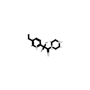 CCc1ccc(C(F)(F)C(=O)N2CCOCC2)nc1